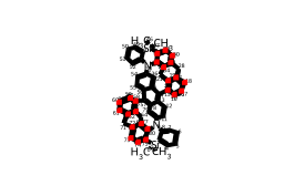 C[Si]1(C)c2ccccc2N(c2ccc3c(-c4cccc5c4C4c6ccccc6C5c5ccccc54)c4cc(N5c6ccccc6[Si](C)(C)c6ccccc65)ccc4c(-c4cccc5c4C4c6ccccc6C5c5ccccc54)c3c2)c2ccccc21